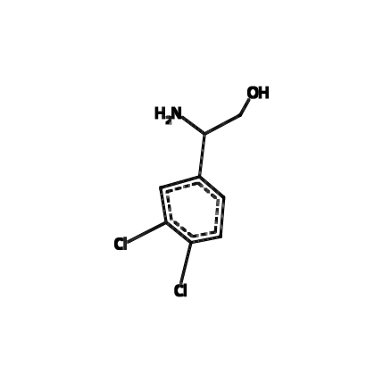 NC(CO)c1ccc(Cl)c(Cl)c1